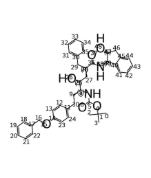 CC(C)(C)OC(=O)N[C@@H](CCc1ccc(OCc2ccccc2)cc1)[C@@H](O)C[C@@H](Cc1ccccc1)C(=O)N[C@@H]1c2ccccc2C[C@@H]1O